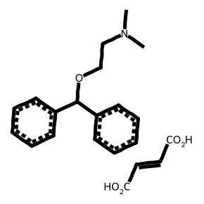 CN(C)CCOC(c1ccccc1)c1ccccc1.O=C(O)C=CC(=O)O